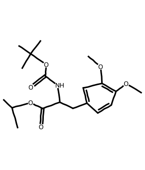 COc1ccc(CC(NC(=O)OC(C)(C)C)C(=O)OC(C)C)cc1OC